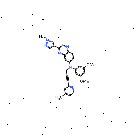 COc1cc(OC)cc(N(CC#Cc2cc(C)ccn2)c2ccc3ncc(-c4cnn(C)c4)nc3c2)c1